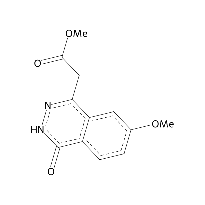 COC(=O)Cc1n[nH]c(=O)c2ccc(OC)cc12